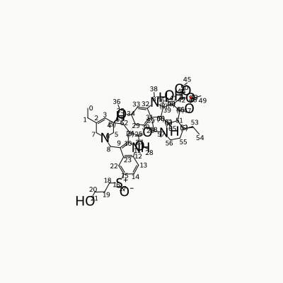 CCC1=C[C@H]2CN(C1)Cc1c([nH]c3ccc([S+]([O-])CCCO)cc13)[C@@](C(=O)OC)(C1C=C3C(=CC1OC)N(C)[C@H]1[C@@](O)(C(=O)OC)[C@H](OC(C)=O)C4[C@@H](CC)CCN5CC[C@]31[C@H]45)C2